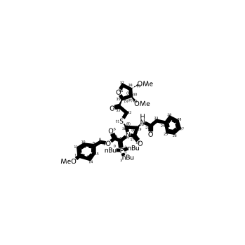 CCCCP(CCCC)(CCCC)=C(C(=O)OCc1ccc(OC)cc1)N1C(=O)[C@@H](NC(=O)Cc2ccccc2)[C@H]1SCC(=O)[C@H]1OC[C@H](OC)[C@H]1OC